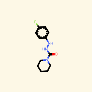 O=C(NNc1ccc(F)cc1)N1CCCCC1